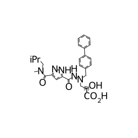 CC(C)CN(C)C(=O)c1cc(C(=O)NN(Cc2ccc(-c3ccccc3)cc2)C[C@@H](O)C(=O)O)[nH]n1